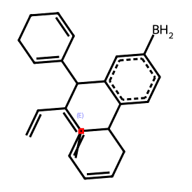 Bc1ccc(C2C=CC=CC2)c(C(C2=CCCC=C2)/C(C=C)=C/C)c1